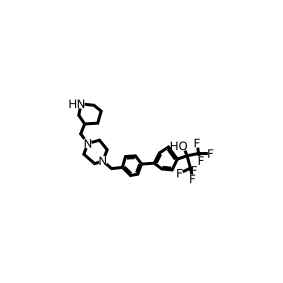 OC(c1ccc(-c2ccc(CN3CCN(CC4CCCNC4)CC3)cc2)cc1)(C(F)(F)F)C(F)(F)F